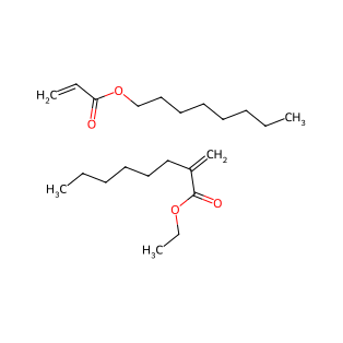 C=C(CCCCCC)C(=O)OCC.C=CC(=O)OCCCCCCCC